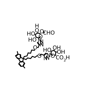 Cc1ccc2c(c1)C(CCCCCCOCc1cn(C3OC(OC=O)C(O)C(O)C3O)nn1)(CCCCCCOCc1cn(C3OC(C(=O)O)C(O)C(O)C3O)nn1)c1cc(C)ccc1-2